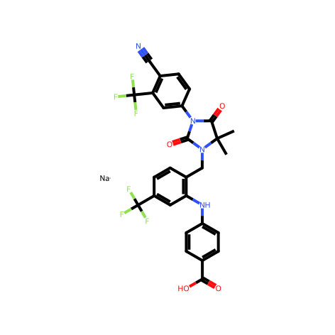 CC1(C)C(=O)N(c2ccc(C#N)c(C(F)(F)F)c2)C(=O)N1Cc1ccc(C(F)(F)F)cc1Nc1ccc(C(=O)O)cc1.[Na]